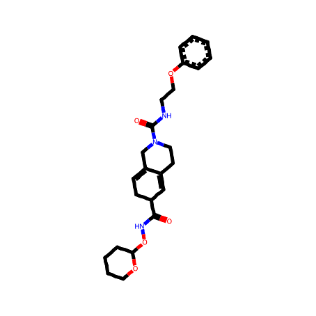 O=C(NOC1CCCCO1)C1C=C2CCN(C(=O)NCCOc3ccccc3)CC2=CC1